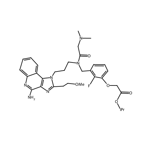 COCCc1nc2c(N)nc3ccccc3c2n1CCCN(Cc1cccc(OCC(=O)OC(C)C)c1F)C(=O)CN(C)C